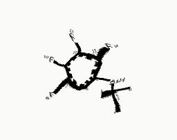 CC(C)(C)[AsH]c1cc(F)c(F)c(F)c1F